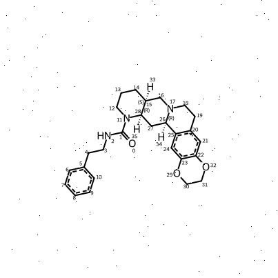 O=C(NCCc1ccccc1)N1CCC[C@H]2CN3CCc4cc5c(cc4[C@H]3C[C@H]21)OCCO5